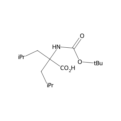 CC(C)CC(CC(C)C)(NC(=O)OC(C)(C)C)C(=O)O